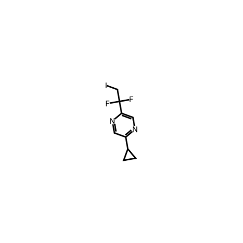 FC(F)(CI)c1cnc(C2CC2)cn1